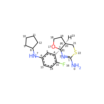 NC1=N[C@@]2(c3cc(NC4CCCC4)ccc3F)OCC[C@H]2CS1